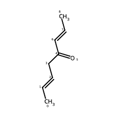 C/C=C/CC(=O)/C=C/C